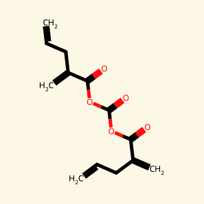 C=CCC(=C)C(=O)OC(=O)OC(=O)C(=C)CC=C